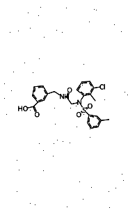 Cc1cccc(S(=O)(=O)N(CC(=O)NCc2cccc(C(=O)O)c2)c2cccc(Cl)c2C)c1